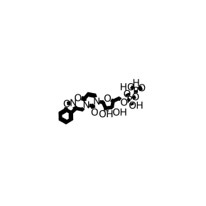 O=c1ccn(C2OC(COP(=O)(O)O[PH](=O)O)C(O)[C@@H]2O)c(=O)n1Cc1noc2ccccc12